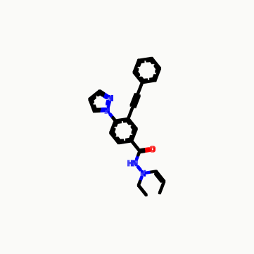 C/C=C\N(CC)NC(=O)c1ccc(-n2cccn2)c(C#Cc2ccccc2)c1